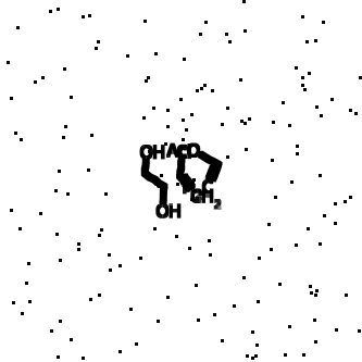 C=CCl.C=COC(C)=O.OCCO